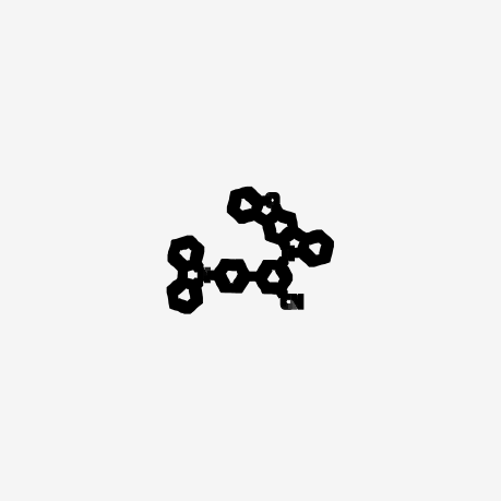 N#Cc1cc(-c2ccc(-n3c4ccccc4c4ccccc43)cc2)cc(-n2c3ccccc3c3cc4oc5ccccc5c4cc32)c1